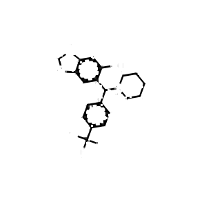 Oc1cc2c(cc1C(c1ccc(C(F)(F)F)cc1)N1CCCCC1)OCO2